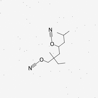 CCC(C)(COC#N)CC(CC(C)C)OC#N